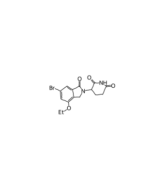 CCOc1cc(Br)cc2c1CN(C1CCC(=O)NC1=O)C2=O